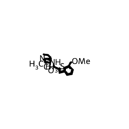 COCc1cccc2cc(C(=O)N[C@@H]3C4CCN(CC4)C3(C)C)sc12